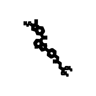 Cc1cc2cc(Nc3ccnc4cc(-c5ccc(CNCCN(C)C)cc5)sc34)ccc2[nH]1